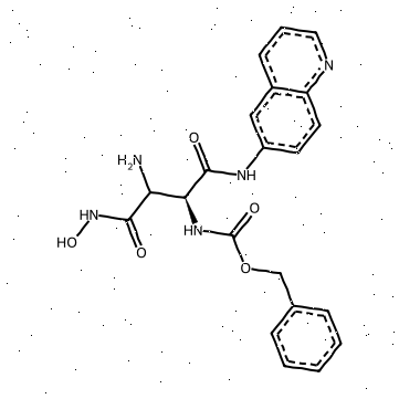 NC(C(=O)NO)[C@H](NC(=O)OCc1ccccc1)C(=O)Nc1ccc2ncccc2c1